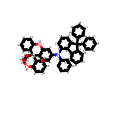 c1ccc(N(c2ccc3c(c2)Oc2ccccc2[Si]32c3ccccc3Oc3ccccc32)c2cccc3c2-c2ccccc2C3(c2ccccc2)c2ccccc2)cc1